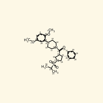 COc1ccc(OC)c(N2CCN(C(=O)[C@@H]3CN(S(=O)(=O)C(C)C)C[C@H]3c3ccccc3)CC2)c1